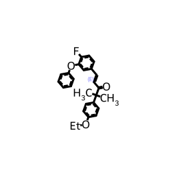 CCOc1ccc(C(C)(C)C(=O)/C=C/c2ccc(F)c(Oc3ccccc3)c2)cc1